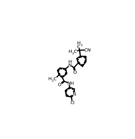 Cc1ccc(NC(=O)c2cccc(C(C)(C)C#N)c2)cc1C(=O)Nc1ccc(Cl)nc1